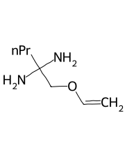 C=COCC(N)(N)CCC